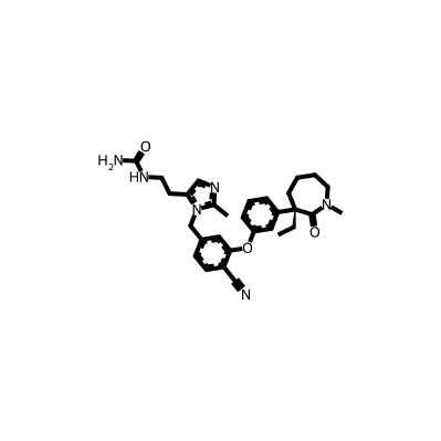 CC[C@@]1(c2cccc(Oc3cc(Cn4c(CCNC(N)=O)cnc4C)ccc3C#N)c2)CCCCN(C)C1=O